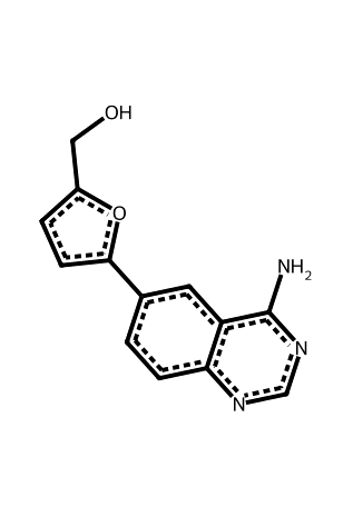 Nc1ncnc2ccc(-c3ccc(CO)o3)cc12